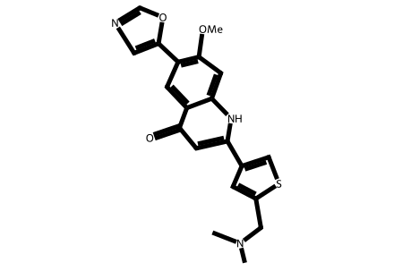 COc1cc2[nH]c(-c3csc(CN(C)C)c3)cc(=O)c2cc1-c1cnco1